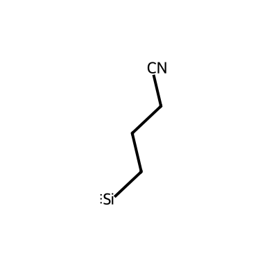 N#CCCC[Si]